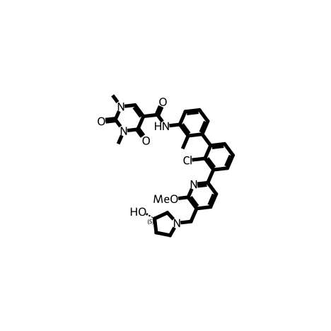 COc1nc(-c2cccc(-c3cccc(NC(=O)c4cn(C)c(=O)n(C)c4=O)c3C)c2Cl)ccc1CN1CC[C@H](O)C1